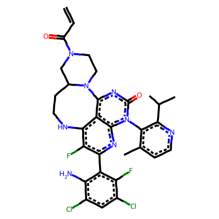 C=CC(=O)N1CCN2c3nc(=O)n(-c4c(C)ccnc4C(C)C)c4nc(-c5c(N)c(Cl)cc(Cl)c5F)c(F)c(c34)NCCC2C1